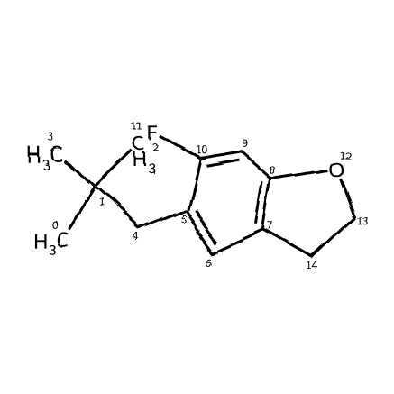 CC(C)(C)Cc1cc2c(cc1F)OCC2